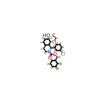 O=C(O)COc1ccc(Cl)cc1C1c2ccccc2CCN1C(=O)OCc1cccc(F)c1F